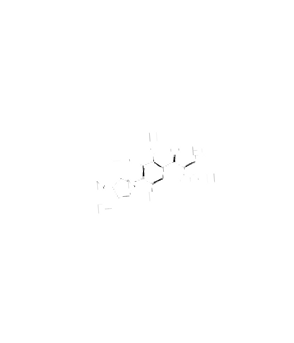 CC/C=C(/C(=O)O)C(=O)c1cc(F)c(N2C[C@H](CF)[C@H](N)C2)c(C)c1C